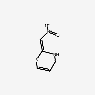 O=[N+]([O-])C=C1NCC=CS1